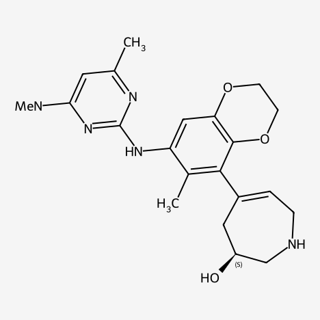 CNc1cc(C)nc(Nc2cc3c(c(C4=CCNC[C@@H](O)C4)c2C)OCCO3)n1